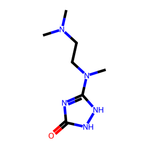 CN(C)CCN(C)c1nc(=O)[nH][nH]1